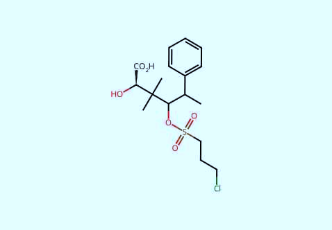 CC(c1ccccc1)C(OS(=O)(=O)CCCCl)C(C)(C)[C@@H](O)C(=O)O